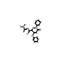 C/C(=N\C(=O)c1nn(-c2ccccc2)c(=O)cc1Oc1ccccc1)N(C)C